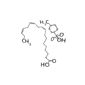 CC/C=C\C/C=C\C/C=C\CCCCCCCC(=O)O.Cc1ccc(S(=O)(=O)O)cc1